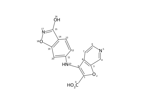 O=C(O)c1oc2cnccc2c1Nc1ccc2c(O)noc2c1